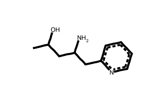 CC(O)CC(N)Cc1ccccn1